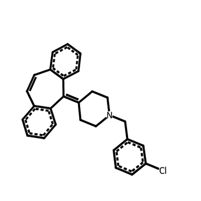 Clc1cccc(CN2CCC(=C3c4ccccc4C=Cc4ccccc43)CC2)c1